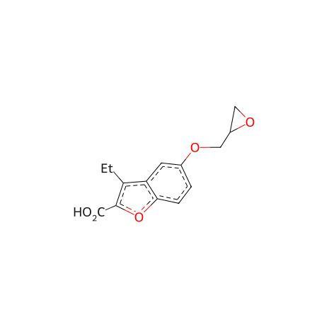 CCc1c(C(=O)O)oc2ccc(OCC3CO3)cc12